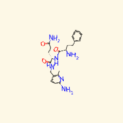 Cc1nc(N)ccc1CNC(=O)[C@H](CCC(N)=O)NC(=O)[C@H](N)CCc1ccccc1